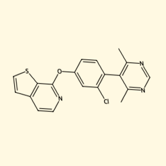 Cc1ncnc(C)c1-c1ccc(Oc2nccc3ccsc23)cc1Cl